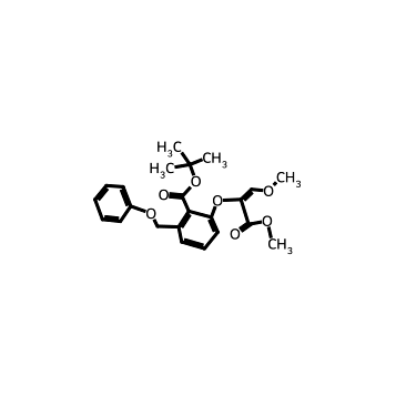 CO/C=C(/Oc1cccc(COc2ccccc2)c1C(=O)OC(C)(C)C)C(=O)OC